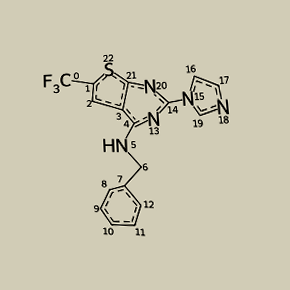 FC(F)(F)c1cc2c(NCc3ccccc3)nc(-n3ccnc3)nc2s1